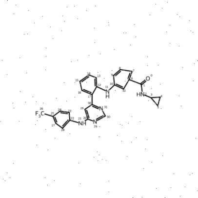 O=C(NC1CC1)c1cccc(Nc2ccccc2-c2cc(Nc3ccc(C(F)(F)F)cc3)ncn2)c1